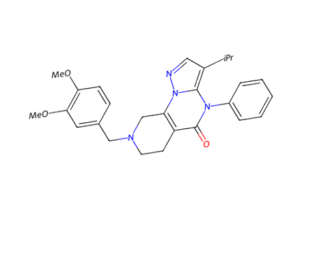 COc1ccc(CN2CCc3c(n4ncc(C(C)C)c4n(-c4ccccc4)c3=O)C2)cc1OC